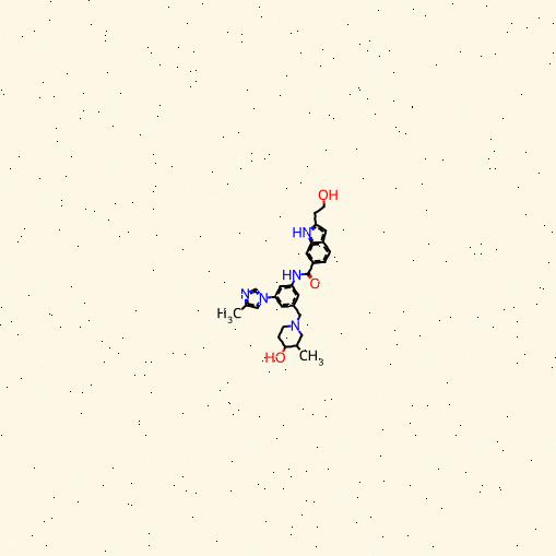 Cc1cn(-c2cc(CN3CCC(O)C(C)C3)cc(NC(=O)c3ccc4cc(CCO)[nH]c4c3)c2)cn1